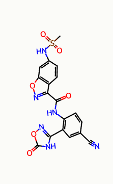 CS(=O)(=O)Nc1ccc2c(C(=O)Nc3ccc(C#N)cc3-c3noc(=O)[nH]3)noc2c1